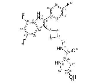 O=C(NC[C@H]1C[C@H](c2c(-c3ccc(F)cc3)[nH]c3c(F)cc(F)cc32)C1)[C@@H]1C[C@@H](O)CN1